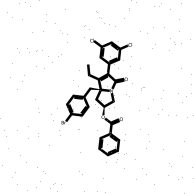 CCC1=C(c2cc(Cl)cc(Cl)c2)C(=O)N2C[C@@H](OC(=O)c3ccccc3)C[C@]12Cc1ccc(Br)cc1